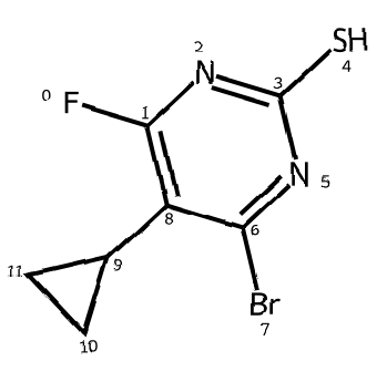 Fc1nc(S)nc(Br)c1C1CC1